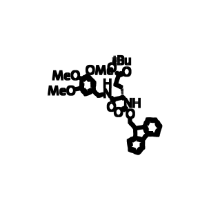 COc1cc(CNC(=O)[C@H](CCC(=O)OC(C)(C)C)NC(=O)OCC2c3ccccc3-c3ccccc32)cc(OC)c1OC